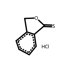 Cl.S=C1OCc2ccccc21